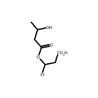 CCC(CC(=O)O)OC(=O)CC(C)O